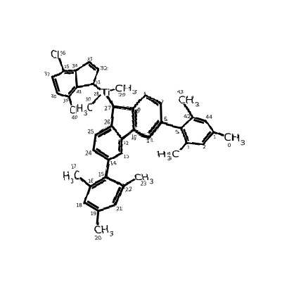 Cc1cc(C)c(-c2ccc3c(c2)-c2cc(-c4c(C)cc(C)cc4C)ccc2[CH]3[Ti]([CH3])([CH3])[CH]2C=Cc3c(Cl)ccc(Cl)c32)c(C)c1